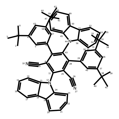 CC(C)(C)c1cc(-c2c(C#N)c(-n3c4ccccc4c4ccccc43)c(C#N)c(-c3cc(C(C)(C)C)cc(C(C)(C)C)c3)c2-n2c3ccccc3c3ccccc32)cc(C(C)(C)C)c1